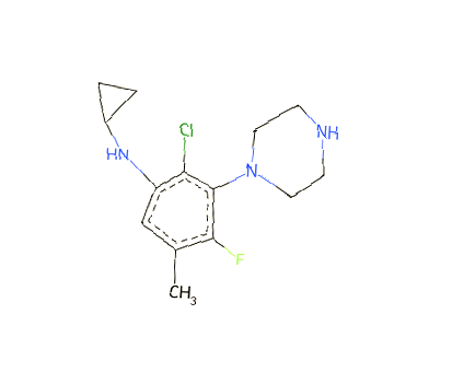 Cc1cc(NC2CC2)c(Cl)c(N2CCNCC2)c1F